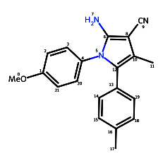 COc1ccc(-n2c(N)c(C#N)c(C)c2-c2ccc(C)cc2)cc1